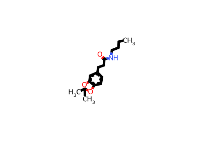 CCCCNC(=O)CCc1ccc2c(c1)OC(C)(C)O2